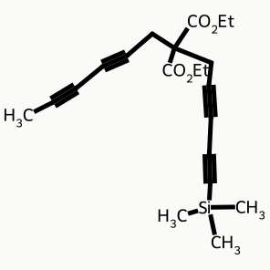 CC#CC#CCC(CC#CC#C[Si](C)(C)C)(C(=O)OCC)C(=O)OCC